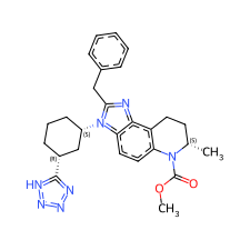 COC(=O)N1c2ccc3c(nc(Cc4ccccc4)n3[C@H]3CCC[C@@H](c4nnn[nH]4)C3)c2CC[C@@H]1C